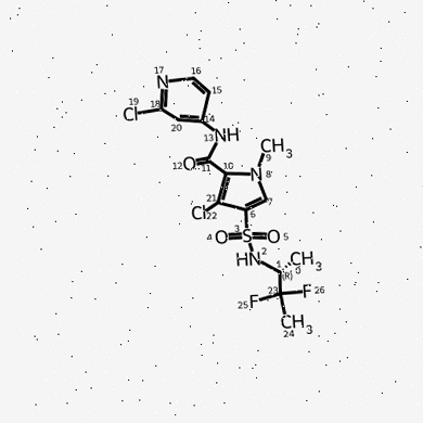 C[C@@H](NS(=O)(=O)c1cn(C)c(C(=O)Nc2ccnc(Cl)c2)c1Cl)C(C)(F)F